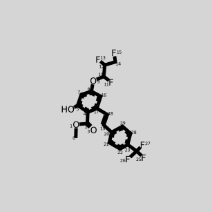 COC(=O)c1c(O)cc(OC(F)C(F)CF)cc1C=Cc1ccc(C(F)(F)F)cc1